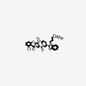 COCCCn1c([C@@H]2CCCN(C(=O)[C@@H]3CN(C(=O)c4c(Cl)cccc4Cl)C[C@H]3N)C2)nc2ccccc21